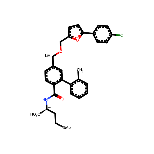 CSCC[C@H](NC(=O)c1ccc(COCc2ccc(-c3ccc(Cl)cc3)o2)cc1-c1ccccc1C)C(=O)O.[LiH]